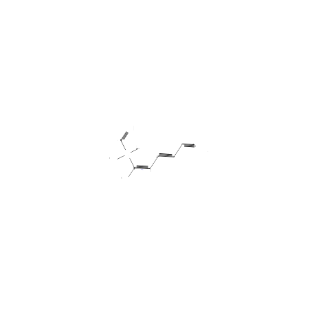 C=CC=C/C=C(/C)S(C)(C)C=C